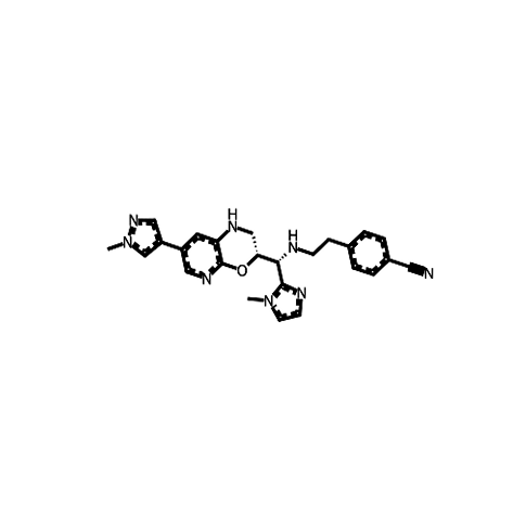 Cn1cc(-c2cnc3c(c2)NC[C@H]([C@H](NCCc2ccc(C#N)cc2)c2nccn2C)O3)cn1